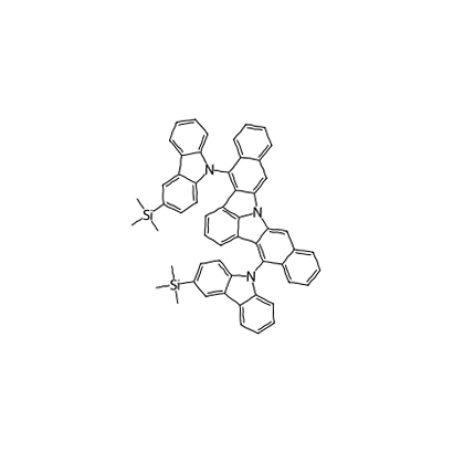 C[Si](C)(C)c1ccc2c(c1)c1ccccc1n2-c1c2ccccc2cc2c1c1cccc3c4c(-n5c6ccccc6c6cc([Si](C)(C)C)ccc65)c5ccccc5cc4n2c13